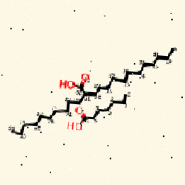 CCCCCCC(=O)O.CCCCCCCCCCCCC(CCCCCCCCCC)C(=O)O